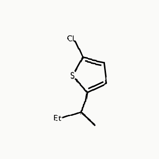 CC[C](C)c1ccc(Cl)s1